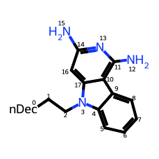 CCCCCCCCCCCCn1c2ccccc2c2c(N)nc(N)cc21